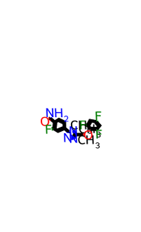 Cn1c(-c2ccc(C(N)=O)c(F)c2)nnc1C(C)(C)Oc1c(F)cc(F)cc1F